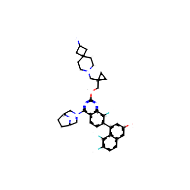 NC1CC2(CCN(CC3(COc4nc(N5CC6CCC(C5)N6)c5ccc(-c6cc(O)cc7ccc(F)c(F)c67)c(F)c5n4)CC3)CC2)C1